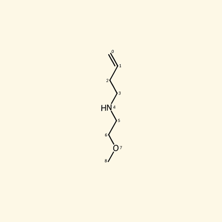 C=CCCNCCOC